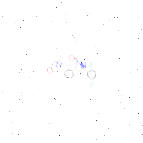 CC(=O)N1N=C(c2cc(F)ccc2F)C[C@@]1(CCCN1CC2CC1CO2)c1ccccc1